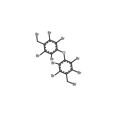 BrCc1c(Br)c(Br)c(Oc2c(Br)c(Br)c(CBr)c(Br)c2Br)c(Br)c1Br